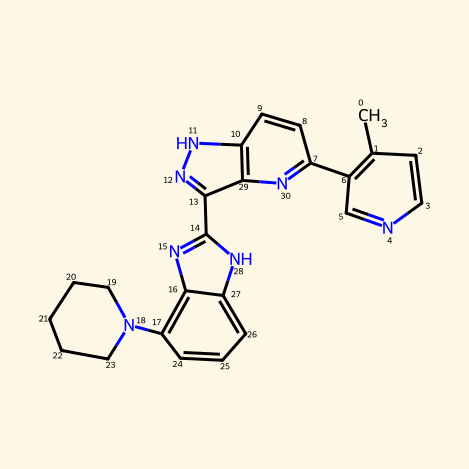 Cc1ccncc1-c1ccc2[nH]nc(-c3nc4c(N5CCCCC5)cccc4[nH]3)c2n1